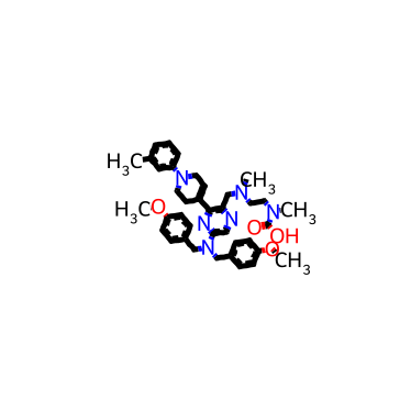 COc1ccc(CN(Cc2ccc(OC)cc2)c2cnc(CN(C)CCN(C)C(=O)O)c(C3=CCN(c4cccc(C)c4)CC3)n2)cc1